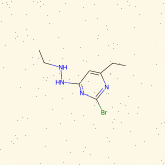 CCNNc1cc(CC)nc(Br)n1